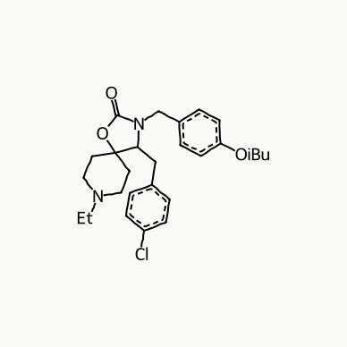 CCN1CCC2(CC1)OC(=O)N(Cc1ccc(OCC(C)C)cc1)C2Cc1ccc(Cl)cc1